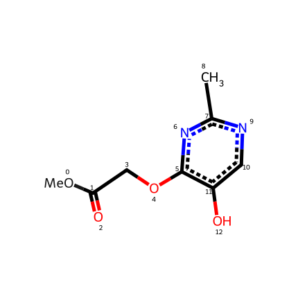 COC(=O)COc1nc(C)ncc1O